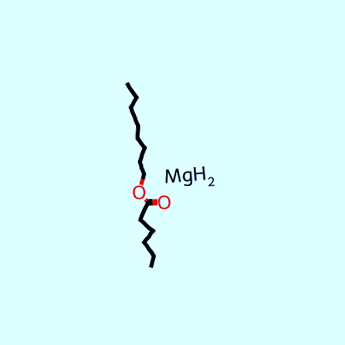 CCCCCCCCOC(=O)CCCCC.[MgH2]